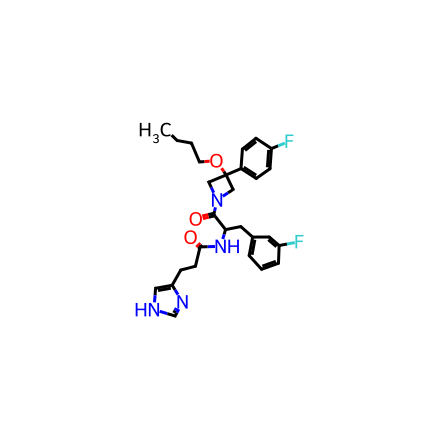 CCCCOC1(c2ccc(F)cc2)CN(C(=O)C(Cc2cccc(F)c2)NC(=O)CCc2c[nH]cn2)C1